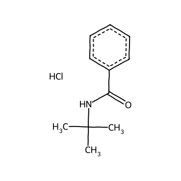 CC(C)(C)NC(=O)c1ccccc1.Cl